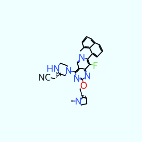 Cc1cccc2cccc(-c3ncc4c(N5CCN[C@@H](CC#N)C5)nc(OC[C@H]5CCCN5C)nc4c3F)c12